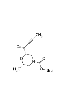 CC#CC(=O)[C@@H]1CN(C(=O)OC(C)(C)C)C[C@H](C)O1